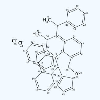 CC(C(=C1C=CC=C2C1C1C3C=CC=CC3C3C=CC=CC3C1(C1=CC=CC1)[CH]2[Zr+2])C(C)c1ccccc1)c1ccccc1.[Cl-].[Cl-]